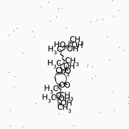 CC(=CC=CC(C)=C[C@H](O)[C@@H](O)C[C@H](C)O)C=C(C)C=C(C(=O)O)[C@H]1CCCC(=O)O[C@@H]([C@@H](C)CC(C)=C[C@@H](C)[C@H](O)C[C@@H](C)O)CC=CC[C@@H]1C